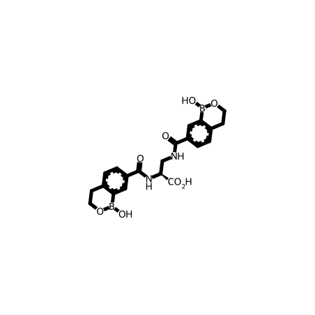 O=C(NC[C@H](NC(=O)c1ccc2c(c1)B(O)OCC2)C(=O)O)c1ccc2c(c1)B(O)OCC2